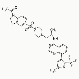 CC(=O)N1CCc2cc(S(=O)(=O)N3CCN(CC(C)Nc4ncnc5c(-c6cn(C)nc6C(F)(F)F)cccc45)CC3)ccc21